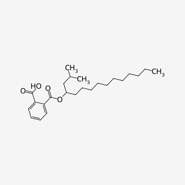 CCCCCCCCCCCC(CC(C)C)OC(=O)c1ccccc1C(=O)O